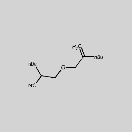 C=C(CCCC)COCC(C#N)CCCC